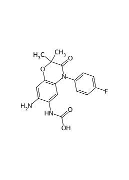 CC1(C)Oc2cc(N)c(NC(=O)O)cc2N(c2ccc(F)cc2)C1=O